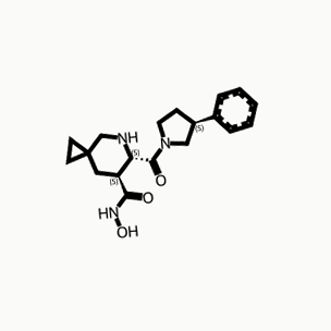 O=C(NO)[C@H]1CC2(CC2)CN[C@@H]1C(=O)N1CC[C@@H](c2ccccc2)C1